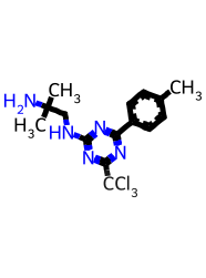 Cc1ccc(-c2nc(NCC(C)(C)N)nc(C(Cl)(Cl)Cl)n2)cc1